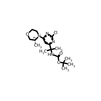 C[C@@H]1COCCN1c1cc(C(C)(C)NC(=O)OC(C)(C)C)nc(Cl)n1